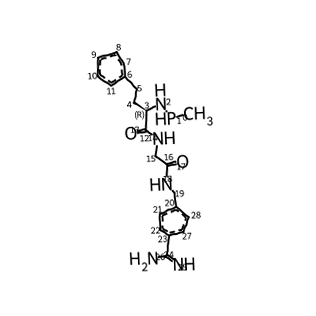 CPN[C@H](CCc1ccccc1)C(=O)NCC(=O)NCc1ccc(C(=N)N)cc1